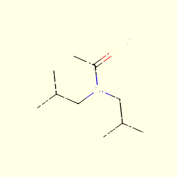 CC(=O)N(CC(C)C)CC(C)C.[Zr]